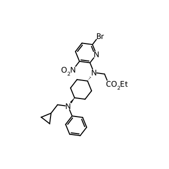 CCOC(=O)CN(c1nc(Br)ccc1[N+](=O)[O-])[C@H]1CC[C@H](N(CC2CC2)c2ccccc2)CC1